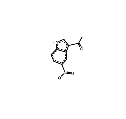 CC(=O)c1c[nH]c2ccc([N+](=O)[O-])cc12